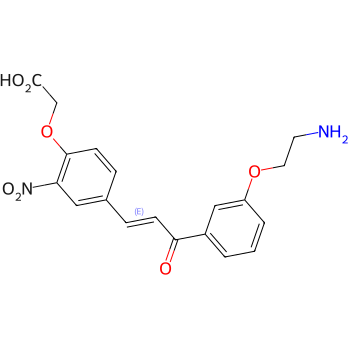 NCCOc1cccc(C(=O)/C=C/c2ccc(OCC(=O)O)c([N+](=O)[O-])c2)c1